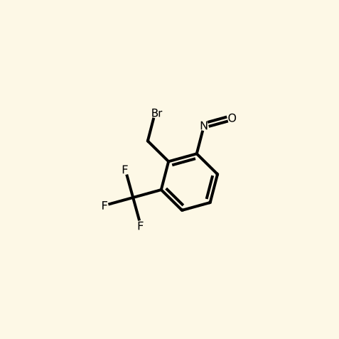 O=Nc1cccc(C(F)(F)F)c1CBr